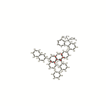 CC1(C)c2ccccc2-c2c(-c3ccc(N(c4ccc(-c5ccc6ccccc6c5)cc4)c4cccc(-c5ccccc5)c4-c4ccccc4-c4ccccc4)cc3)cccc21